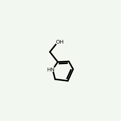 OCC1=CC=CCN1